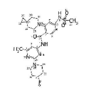 Cc1cc(NC(=O)c2ccc(NS(C)(=O)=O)cc2N2CCC3(CC2)CC3)nc(N2CCC(F)CC2)n1